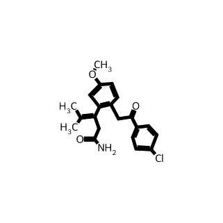 COc1ccc(CC(=O)c2ccc(Cl)cc2)c(C(CC(N)=O)=C(C)C)c1